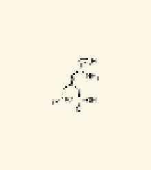 NC(C=C(CCF)CP(=O)(O)O)C(=O)O